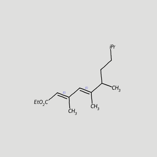 CCOC(=O)/C=C(C)/C=C(\C)C(C)CCC(C)C